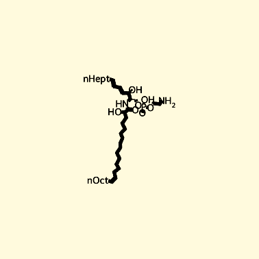 CCCCCCC/C=C/C=C/[C@@H](O)[C@H](COP(=O)(O)OCCN)NC(=O)C(O)CCCCCCCCCCCC/C=C\CCCCCCCC